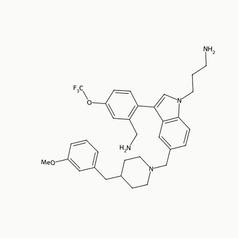 COc1cccc(CC2CCN(Cc3ccc4c(c3)c(-c3ccc(OC(F)(F)F)cc3CN)cn4CCCN)CC2)c1